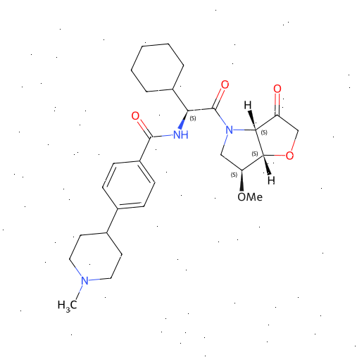 CO[C@H]1CN(C(=O)[C@@H](NC(=O)c2ccc(C3CCN(C)CC3)cc2)C2CCCCC2)[C@@H]2C(=O)CO[C@H]12